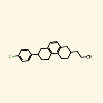 CCCC1CCc2c(ccc3c2CCC(c2ccc(Cl)cc2)C3)C1